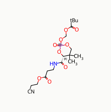 CC(C)(C)C(=O)OCO[P@@]1(=O)OCC(C)(C)[C@H](C(=O)NCCC(=O)OCCC#N)O1